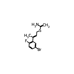 C=C(N)SC/C=C(\C)c1cc(Br)ccc1F